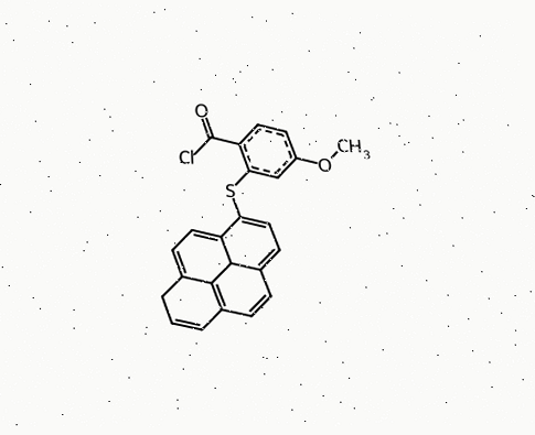 COc1ccc(C(=O)Cl)c(SC2=CC=C3C=CC4=C5C(=CC=C2C35)CC=C4)c1